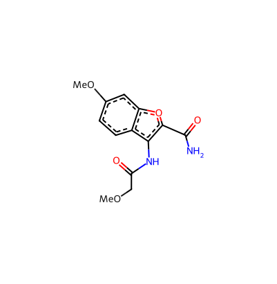 COCC(=O)Nc1c(C(N)=O)oc2cc(OC)ccc12